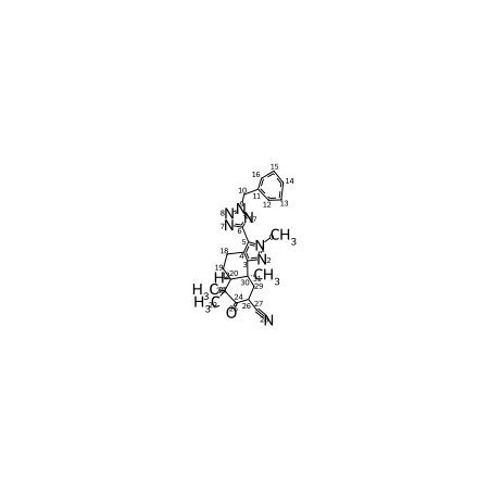 Cn1nc2c(c1-c1nnn(Cc3ccccc3)n1)CC[C@H]1C(C)(C)C(=O)C(C#N)C[C@]21C